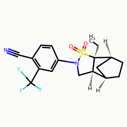 CC[C@]12[C@H]3CC[C@H](C3)[C@H]1CN(c1ccc(C#N)c(C(F)(F)F)c1)S2(=O)=O